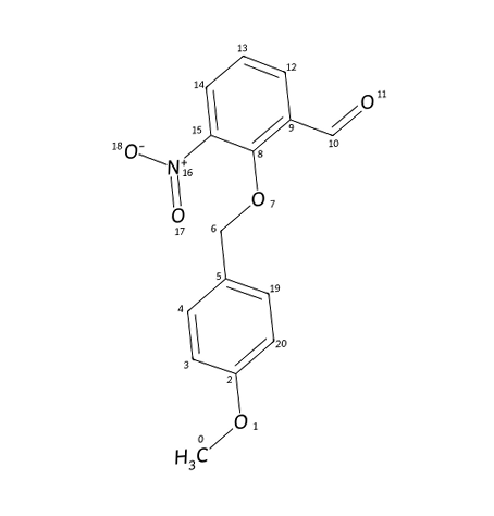 COc1ccc(COc2c(C=O)cccc2[N+](=O)[O-])cc1